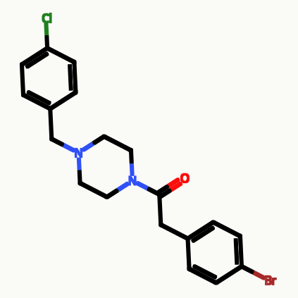 O=C(Cc1ccc(Br)cc1)N1CCN(Cc2ccc(Cl)cc2)CC1